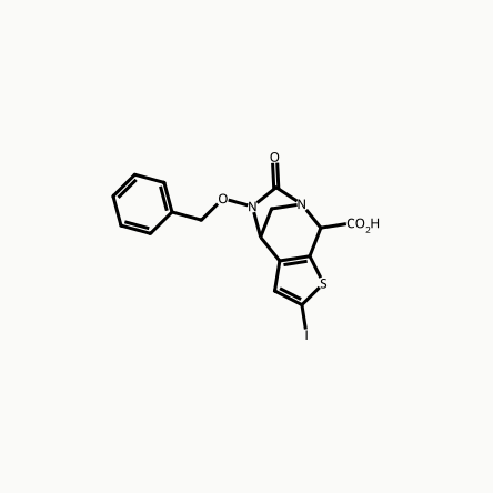 O=C(O)C1c2sc(I)cc2C2CN1C(=O)N2OCc1ccccc1